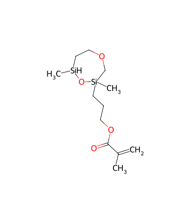 C=C(C)C(=O)OCCC[Si]1(C)COCC[SiH](C)O1